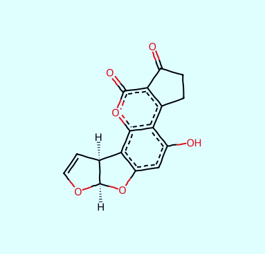 O=C1CCc2c1c(=O)oc1c3c(cc(O)c21)O[C@H]1OC=C[C@@H]31